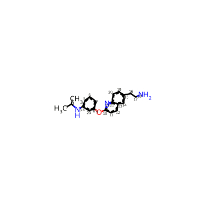 CC(C)Nc1cccc(Oc2ccc3cc(CCN)ccc3n2)c1